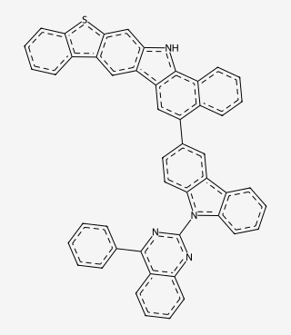 c1ccc(-c2nc(-n3c4ccccc4c4cc(-c5cc6c7cc8c(cc7[nH]c6c6ccccc56)sc5ccccc58)ccc43)nc3ccccc23)cc1